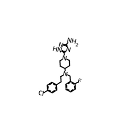 Nc1n[nH]c(N2CCC(N(CCc3ccc(Cl)cc3)Cc3ccccc3F)CC2)n1